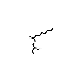 CCCCCCCC(=O)SCC(O)CC